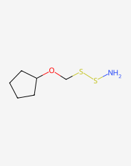 NSSCOC1CCCC1